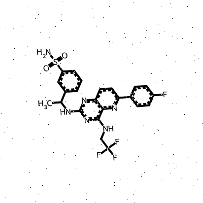 CC(Nc1nc(NCC(F)(F)F)c2nc(-c3ccc(F)cc3)ccc2n1)c1cccc(S(N)(=O)=O)c1